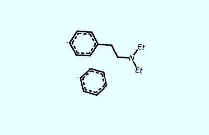 CCN(CC)CCc1cc[c]cc1.[c]1ccccc1